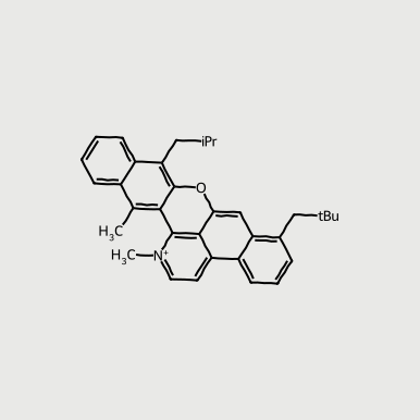 Cc1c2c(c(CC(C)C)c3ccccc13)Oc1cc3c(CC(C)(C)C)cccc3c3cc[n+](C)c-2c13